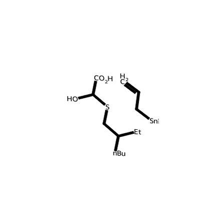 C=C[CH2][Sn].CCCCC(CC)CSC(O)C(=O)O